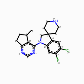 CC1CCc2ncnc(N3CC4(CCNCC4)c4cc(Cl)c(F)cc43)c21